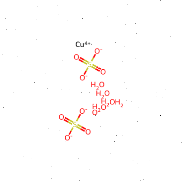 O.O.O.O.O.O=S(=O)([O-])[O-].O=S(=O)([O-])[O-].[Cu+4]